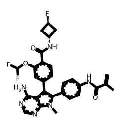 C=C(C)C(=O)Nc1ccc(-c2c(-c3ccc(C(=O)N[C@H]4C[C@H](F)C4)c(OC(F)F)c3)c3c(N)ncnc3n2C)cc1